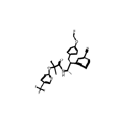 C[C@H](NC(=O)C(C)(C)Oc1ccc(C(F)(F)F)cn1)[C@@H](Cc1ccc(OCF)cc1)c1cccc(C#N)c1